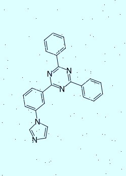 c1ccc(-c2nc(-c3ccccc3)nc(-c3cccc(-n4ccnc4)c3)n2)cc1